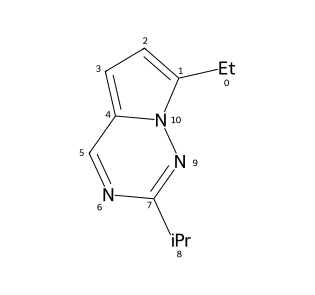 CCc1ccc2cnc(C(C)C)nn12